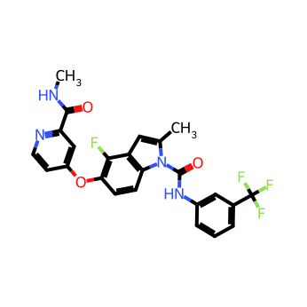 CNC(=O)c1cc(Oc2ccc3c(cc(C)n3C(=O)Nc3cccc(C(F)(F)F)c3)c2F)ccn1